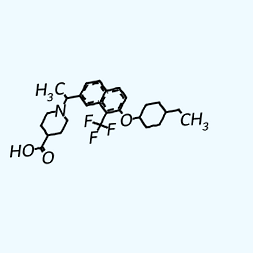 CCC1CCC(Oc2ccc3ccc(C(C)N4CCC(C(=O)O)CC4)cc3c2C(F)(F)F)CC1